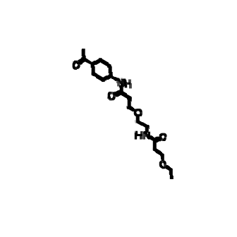 CCOCCC(=O)NCCOCCC(=O)N[C@H]1CC[C@@H](C(C)=O)CC1